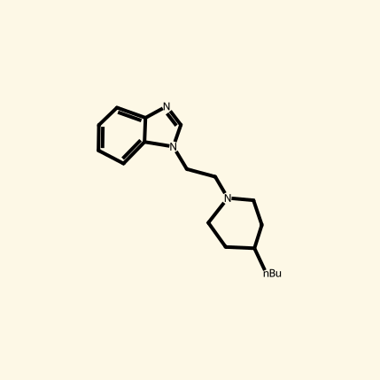 CCCCC1CCN(CCn2cnc3ccccc32)CC1